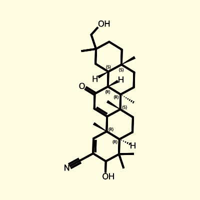 CC1(CO)CC[C@]2(C)CC[C@]3(C)[C@H](C(=O)C=C4[C@@]5(C)C=C(C#N)C(O)C(C)(C)[C@@H]5CC[C@]43C)[C@@H]2C1